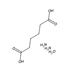 N.N.O.O=C(O)CCCCC(=O)O